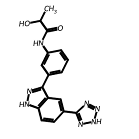 CC(O)C(=O)Nc1cccc(-c2n[nH]c3ccc(-c4nn[nH]n4)cc23)c1